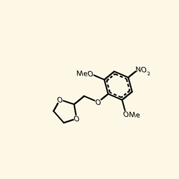 COc1cc([N+](=O)[O-])cc(OC)c1OCC1OCCO1